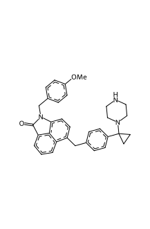 COc1ccc(CN2C(=O)c3cccc4c(Cc5ccc(C6(N7CCNCC7)CC6)cc5)ccc2c34)cc1